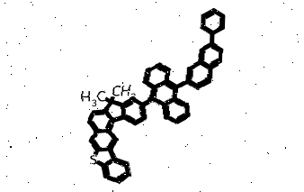 CC1(C)c2cc(-c3c4ccccc4c(-c4ccc5ccc(C6C=CC=CC6)cc5c4)c4ccccc34)ccc2-c2c1ccc1cc3sc4ccccc4c3cc21